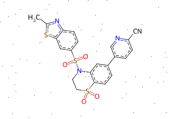 Cc1nc2ccc(S(=O)(=O)N3CCS(=O)(=O)c4ccc(-c5ccc(C#N)nc5)cc43)cc2s1